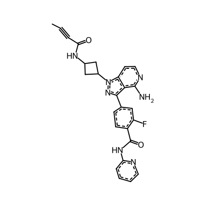 CC#CC(=O)NC1CC(n2nc(-c3ccc(C(=O)Nc4ccccn4)c(F)c3)c3c(N)nccc32)C1